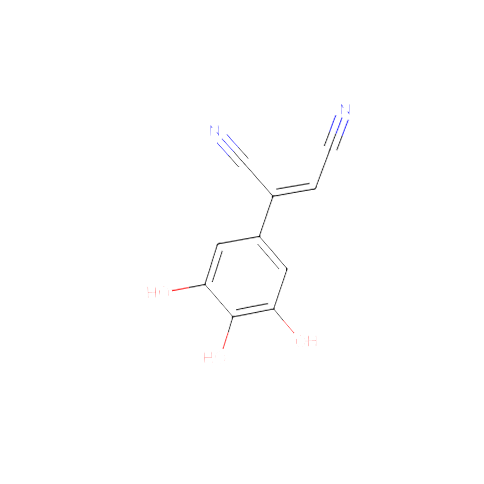 N#CC=C(C#N)c1cc(O)c(O)c(O)c1